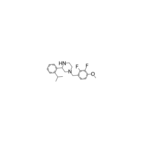 COc1ccc(CN2CCNC(c3ccccc3C(C)C)C2)c(F)c1F